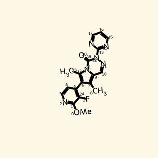 COc1nccc(-c2c(C)c3cnn(-c4ncccn4)c(=O)n3c2C)c1F